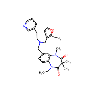 CCN1C(=O)C(C)(C)C(=O)N(C)c2cc(CN(CCc3cccnc3)Cc3ccoc3C)ccc21